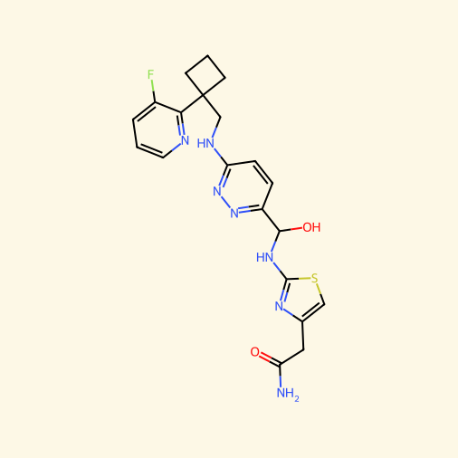 NC(=O)Cc1csc(NC(O)c2ccc(NCC3(c4ncccc4F)CCC3)nn2)n1